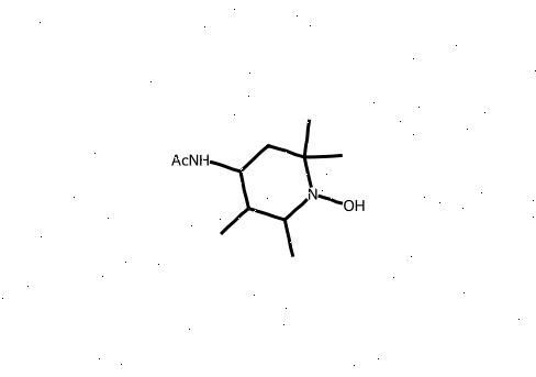 CC(=O)NC1CC(C)(C)N(O)C(C)C1C